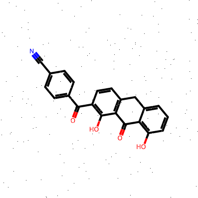 N#Cc1ccc(C(=O)c2ccc3c(c2O)C(=O)c2c(O)cccc2C3)cc1